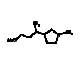 COCCN(C)C1CCN(C)C1